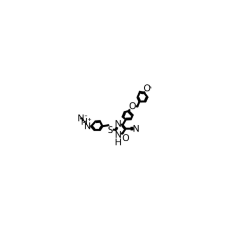 COc1ccc(COc2ccc(-c3nc(SCc4ccc(N=[N+]=[N-])cc4)[nH]c(=O)c3C#N)cc2)cc1